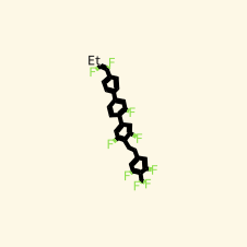 CC/C(F)=C(\F)c1ccc(-c2ccc(-c3cc(F)c(CCc4cc(F)c(C(F)F)c(F)c4)c(F)c3)c(F)c2)cc1